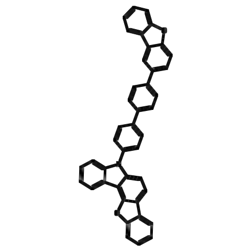 c1ccc2c(c1)oc1ccc(-c3ccc(-c4ccc(-n5c6ccccc6c6c7oc8ccccc8c7ccc65)cc4)cc3)cc12